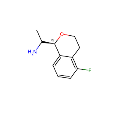 CC(N)[C@H]1OCCc2c(F)cccc21